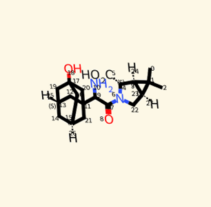 CC1(C)[C@@H]2[C@@H](C(=O)O)N(C(=O)C(N)C34C[C@@H]5C[C@@H](CC(O)(C5)C3)C4)C[C@@H]21